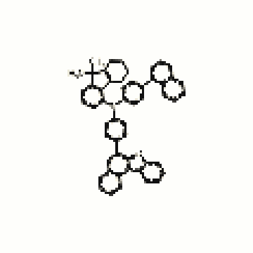 CC1(C)C2=C(CCC=C2)c2c(N(c3ccc(-c4cccc5ccccc45)cc3)c3ccc(-c4cc5ccccc5c5c4oc4ccccc45)cc3)cccc21